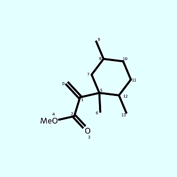 C=C(C(=O)OC)C1(C)CC(C)CCC1C